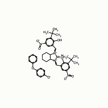 CC(C)(C)c1cc([N+](=O)[O-])cc(C=[N+]2[Mn][N+](=Cc3cc([N+](=O)[O-])cc(C(C)(C)C)c3O)C3CCCCC32)c1O.[O-]c1ccc(Oc2ccccc2)cc1